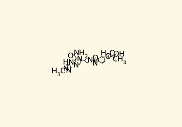 Cn1cc(Nc2ncc(C3CN(c4nc5ccc(OCC(C)(C)O)cc5o4)C3)nc2C(N)=O)cn1